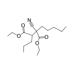 CCCCCC(C#N)(C(=O)OCC)C(CCC)C(=O)OCC